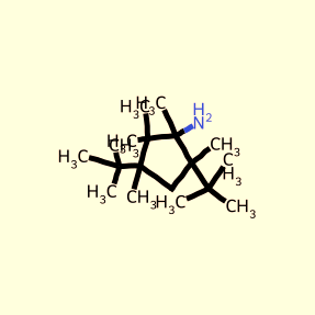 CC(C)(C)C1(C)CC(C)(C(C)(C)C)C(C)(N)C1(C)C